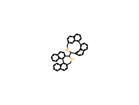 c1cc2c3cc(ccc3c1)CPC(C1PCc3ccc4ccccc4c3-c3c1ccc1ccccc31)c1ccc3cccc-2c3c1